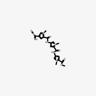 COC(=O)c1cc(NC(=O)c2cc(NC(=O)c3cc(C(=N)B=O)cn3C)cn2C)cn1C